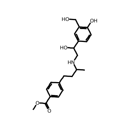 COC(=O)c1ccc(CCC(C)NCC(O)c2ccc(O)c(CO)c2)cc1